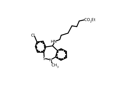 CCOC(=O)CCCCCCNC1c2cc(Cl)ccc2SN(C)c2ccccc21